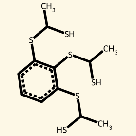 CC(S)Sc1cccc(SC(C)S)c1SC(C)S